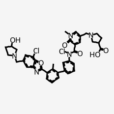 Cc1c(-c2cccc(N(Cl)C(=O)c3cc(CN4CCC(C(=O)O)C4)cn(C)c3=O)c2)cccc1-c1nc2cc(CN3CCC(O)C3)cc(Cl)c2o1